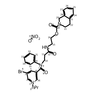 CCC[n+]1cc(Br)cc(C(=O)N(CCC(=O)NCCOC(=O)N2CCc3ccccc3C2)c2ccccc2)c1.O=[N+]([O-])[O-]